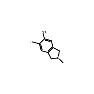 CN1Cc2cc(N)c(Cl)cc2C1